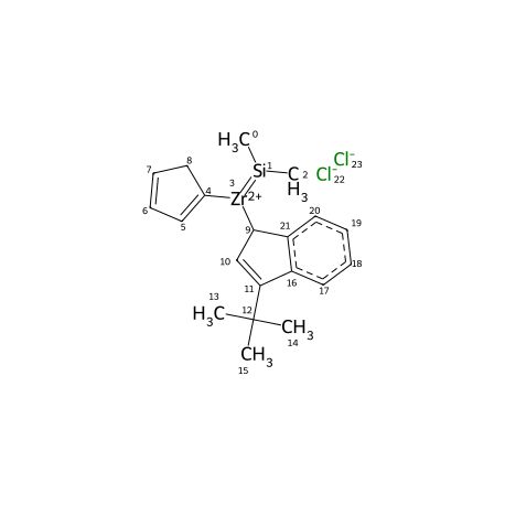 C[Si](C)=[Zr+2]([C]1=CC=CC1)[CH]1C=C(C(C)(C)C)c2ccccc21.[Cl-].[Cl-]